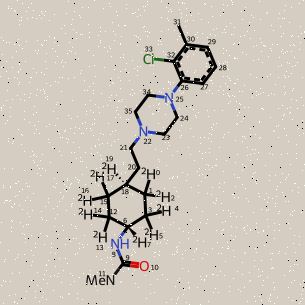 [2H]C1([2H])C([2H])([2H])[C@]([2H])(NC(=O)NC)C([2H])([2H])C([2H])([2H])[C@@]1([2H])CCN1CCN(c2cccc(C)c2Cl)CC1